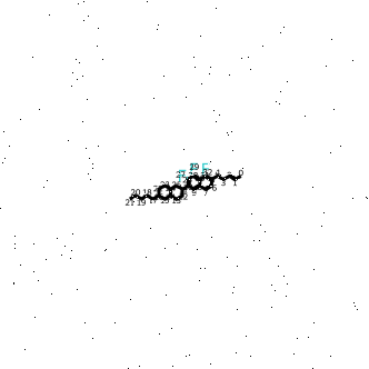 CC=CCCc1ccc2cc(C3CCC4CC(CCCCC)CCC4C3)c(F)c(F)c2c1F